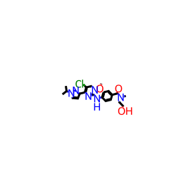 COc1cc(C(=O)N(C)CCO)ccc1Nc1ncc(Cl)c(-c2ccn(C(C)C)n2)n1